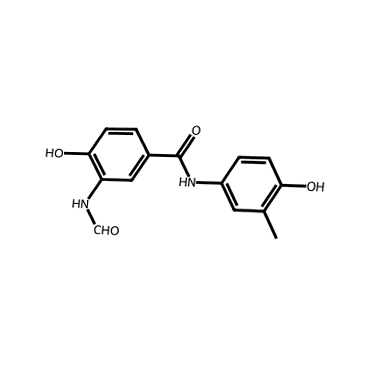 Cc1cc(NC(=O)c2ccc(O)c(NC=O)c2)ccc1O